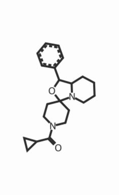 O=C(C1CC1)N1CCC2(CC1)OC(c1ccccc1)C1CCCCN12